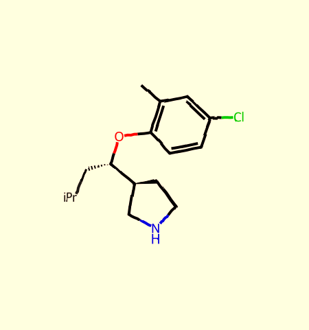 Cc1cc(Cl)ccc1O[C@@H](CC(C)C)[C@H]1CCNC1